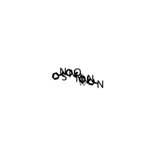 C[C@@H]1CN(CC(=O)N2CCc3nc(-c4ccccc4)sc3C2)[C@@H](C)CN1c1ccc(C#N)cn1